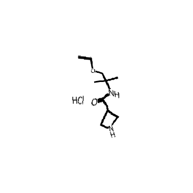 CCOCC(C)(C)NC(=O)C1CNC1.Cl